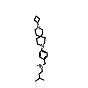 CC(C)CCNCc1ccc(N2CCC3(CC2)CCN(C2CCC2)CC3)cc1